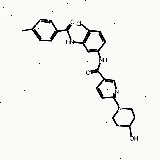 Cc1ccc(C(=O)Nc2cc(NC(=O)c3ccc(N4CCC(O)CC4)nc3)ccc2Cl)cc1